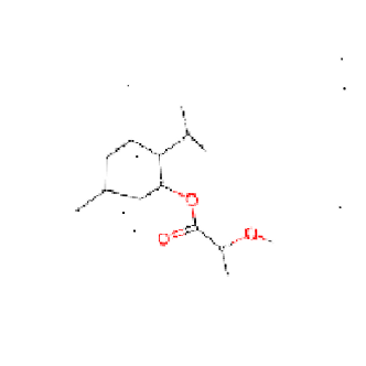 COC(C)C(=O)OC1CC(C)CCC1C(C)C